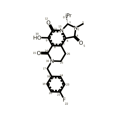 CC(C)[C@@H]1N(C)C(=O)c2c3c(c(O)c(=O)n21)C(=O)N(Cc1ccc(F)cc1)CC3